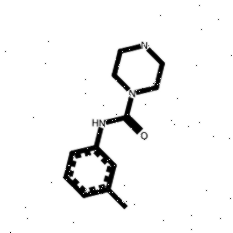 Cc1cccc(NC(=O)N2CC[N]CC2)c1